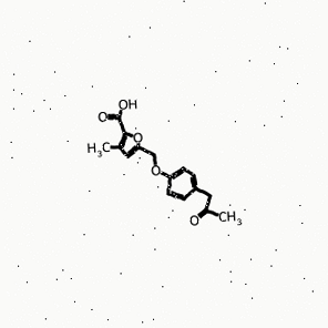 CC(=O)Cc1ccc(OCc2cc(C)c(C(=O)O)o2)cc1